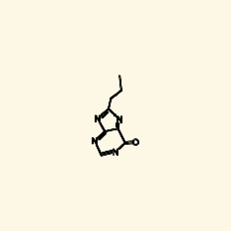 CCCC1=NC2=NC=NC(=O)C2=N1